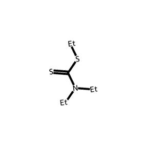 CCSC(=S)N(CC)CC